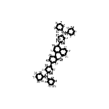 c1ccc(N(c2ccccc2)c2cnc(-c3ccc4c5c(cccc35)Sc3cc(-c5ccc(N(c6ccccc6)c6ccccc6)nc5)ccc3-4)nc2)cc1